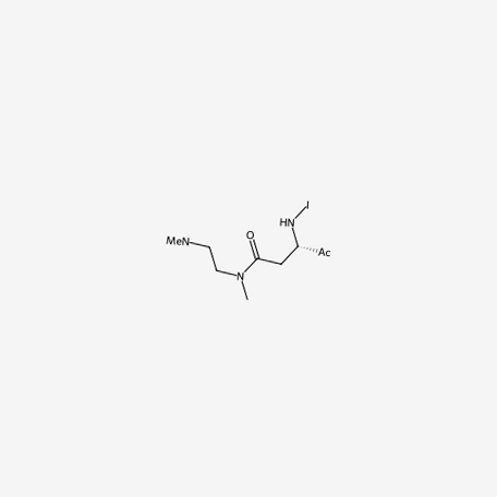 CNCCN(C)C(=O)C[C@H](NI)C(C)=O